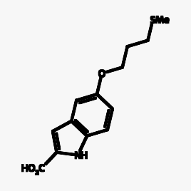 CSCCCOc1ccc2[nH]c(C(=O)O)cc2c1